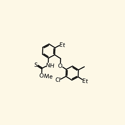 CCc1cc(Cl)c(OCc2c(CC)cccc2NC(=S)OC)cc1C